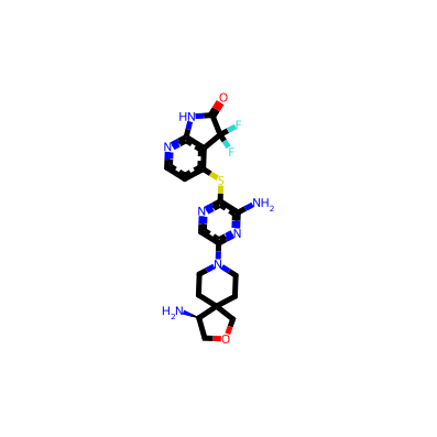 Nc1nc(N2CCC3(CC2)COC[C@H]3N)cnc1Sc1ccnc2c1C(F)(F)C(=O)N2